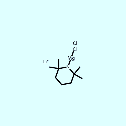 CC1(C)CCCC(C)(C)[N]1[Mg][Cl].[Cl-].[Li+]